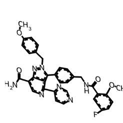 COc1ccc(Cn2nc3c(C(N)=O)cnc(-c4ccncn4)c3c2-c2ccc(CNC(=O)c3cc(F)ccc3OC)cc2)cc1